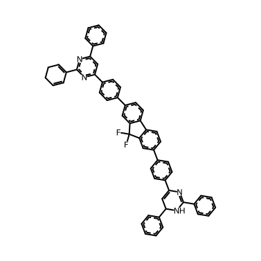 FC1(F)c2cc(-c3ccc(C4=CC(c5ccccc5)NC(c5ccccc5)=N4)cc3)ccc2-c2ccc(-c3ccc(-c4cc(-c5ccccc5)nc(C5=CCCC=C5)n4)cc3)cc21